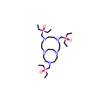 CCP(=O)(CC)CN1CCN2CCN(CC1)CCN(CP(=O)(CC)CC)CCN(CP(=O)(CC)CC)CC2